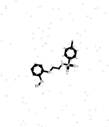 CCOc1ccccc1OCCOS(=O)(=O)c1ccc(C)cc1